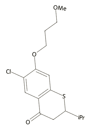 COCCCOc1cc2c(cc1Cl)C(=O)CC(C(C)C)S2